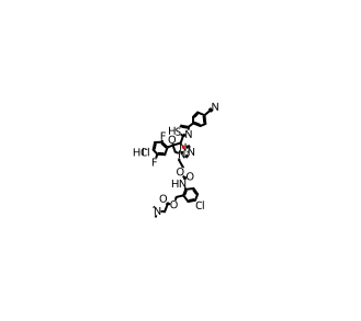 C[C@@H](c1nc(-c2ccc(C#N)cc2)cs1)[C@](O)(C[N+]1(CCOC(=O)Nc2ccc(Cl)cc2COC(=O)CN(C)C)C=NC=N1)c1cc(F)ccc1F.Cl.[I-]